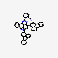 N#CC1=C(c2nc(-c3ccccc3C#N)c3cc(-c4ccc5c6c(cccc46)C4=C5CCC=C4)cc(C4=C5C=CC=C6c7ccccc7C(C=C4)C65)c3n2)CCC=C1